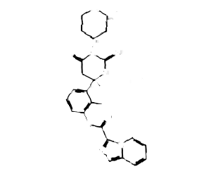 C[C@@H]1C[C@H](N2C(=N)N[C@](C)(c3cccc(NC(=O)c4ncc5ccccn45)c3Cl)CC2=O)CCO1.Cl